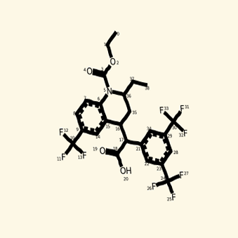 CCOC(=O)N1c2ccc(C(F)(F)F)cc2C(C(C(=O)O)c2cc(C(F)(F)F)cc(C(F)(F)F)c2)CC1CC